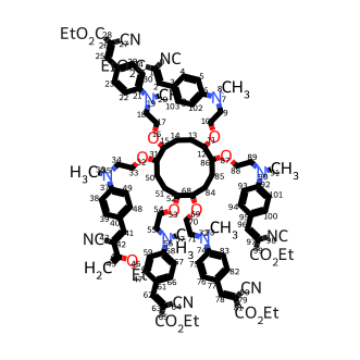 [C-]#[N+]/C(=C\c1ccc(N(C)CCOC2CCC(OCCN(C)c3ccc(/C=C(\C#N)C(=O)OCC)cc3)C(OCCN(C)c3ccc(/C=C(\C#N)C(=C)OCC)cc3)CCC(OCCN(C)c3ccc(/C=C(\C#N)C(=O)OCC)cc3)C(OCCN(C)c3ccc(/C=C(\C#N)C(=O)OCC)cc3)CCC2OCCN(C)c2ccc(/C=C(\[N+]#[C-])C(=O)OCC)cc2)cc1)C(=O)OCC